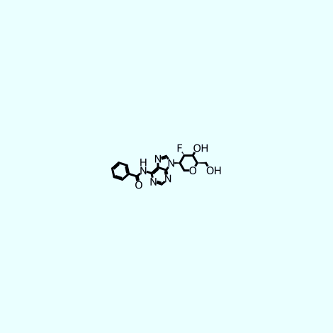 O=C(Nc1ncnc2c1ncn2[C@@H]1CO[C@H](CO)C(O)[C@H]1F)c1ccccc1